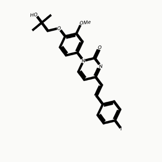 COc1cc(-n2ccc(/C=C/c3ccc(I)cc3)nc2=O)ccc1OCC(C)(C)O